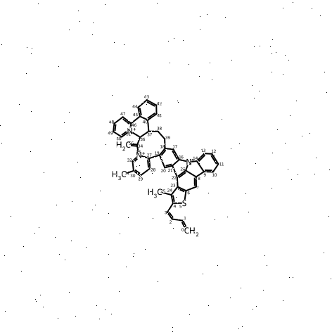 C=C/C=C\c1sc2cc3c4ccccc4n4c5cc6c(cc5c(c2c1C)c34)-c1ccc(C)c[n+]1C(=C)C1C(CC6)c2ccccc2-c2cccc[n+]21